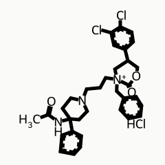 CC(=O)NC1(c2ccccc2)CCN(CCC[N+]2(Cc3ccccc3)CC(c3ccc(Cl)c(Cl)c3)COC2=O)CC1.Cl